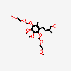 COCCOCOc1c(C)c(CC=C(C)CO)c(OCOCCOC)c(OC)c1OC